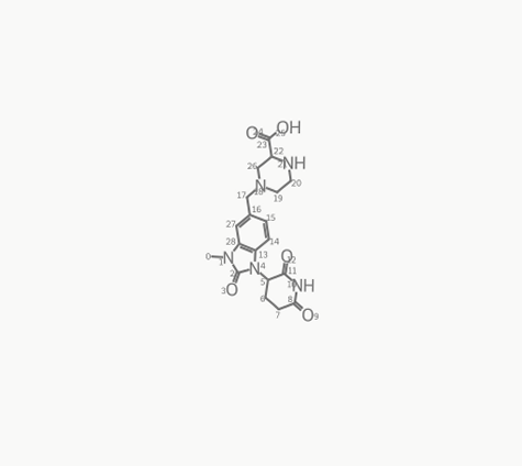 Cn1c(=O)n(C2CCC(=O)NC2=O)c2ccc(CN3CCNC(C(=O)O)C3)cc21